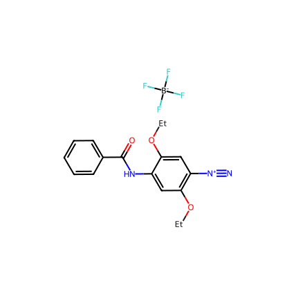 CCOc1cc(NC(=O)c2ccccc2)c(OCC)cc1[N+]#N.F[B-](F)(F)F